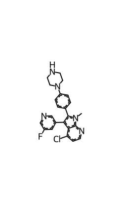 Cn1c(-c2ccc(N3CCNCC3)cc2)c(-c2cncc(F)c2)c2c(Cl)ccnc21